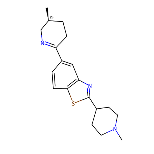 C[C@H]1CCC(c2ccc3sc(C4CCN(C)CC4)nc3c2)=NC1